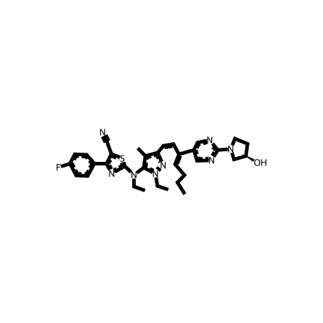 CCC/C=C(/C=C\c1nn(CC)c(N(CC)c2nc(-c3ccc(F)cc3)c(C#N)s2)c1C)c1cnc(N2CC[C@@H](O)C2)nc1